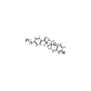 C=C(c1ccc(SC(C)C)cc1)C1(C)CCC2(CCc3cc(F)ccc3O2)C1